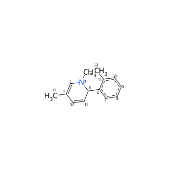 CC1=CN(C)C(c2ccccc2C)C=C1